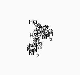 CO[C@@H]1C2C(OP(=O)(S)O[C@H]3C[C@@H](CO)O[C@H]3n3cnc4c(=O)[nH]c(N)nc43)[C@@]2(C)O[C@H]1n1cnc2c(N)ncnc21